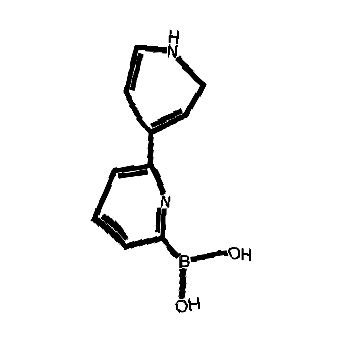 OB(O)c1cccc(C2=CCNC=C2)n1